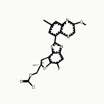 COc1cnc2c(-c3nc4cc(F)c5c(c4s3)C[C@](C)(COC(=O)Cl)O5)cc(C)cc2n1